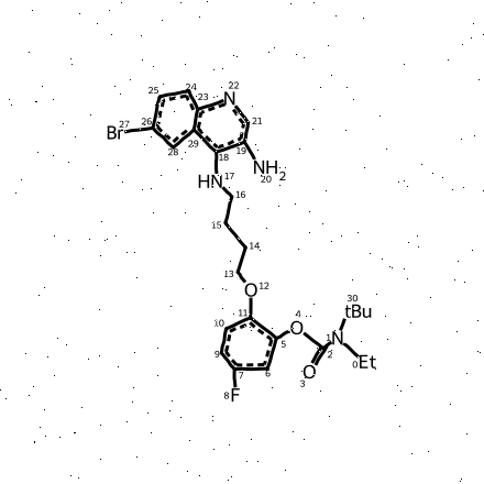 CCN(C(=O)Oc1cc(F)ccc1OCCCCNc1c(N)cnc2ccc(Br)cc12)C(C)(C)C